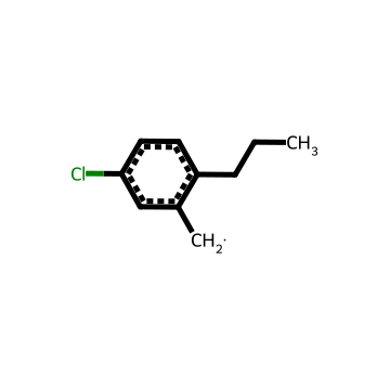 [CH2]c1cc(Cl)ccc1CCC